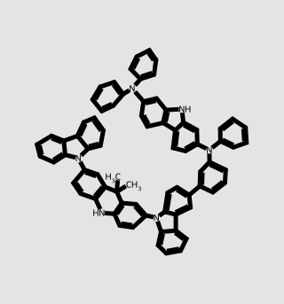 CC1(C)c2cc(-n3c4ccccc4c4ccccc43)ccc2Nc2ccc(-n3c4ccccc4c4cc(-c5cccc(N(c6ccccc6)c6ccc7c(c6)[nH]c6cc(N(c8ccccc8)c8ccccc8)ccc67)c5)ccc43)cc21